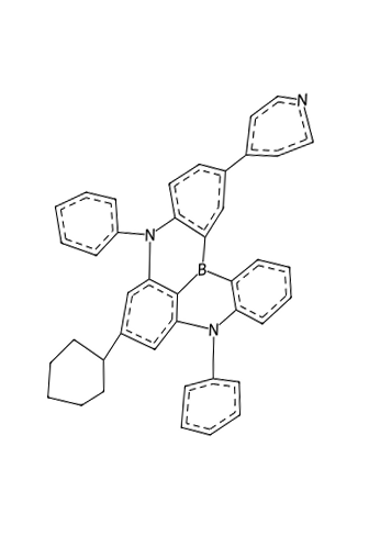 c1ccc(N2c3ccccc3B3c4cc(-c5ccncc5)ccc4N(c4ccccc4)c4cc(C5CCCCC5)cc2c43)cc1